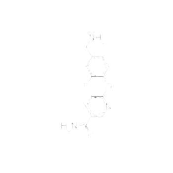 NCc1ccc(Oc2ccc(C(N)=O)cn2)c(F)c1